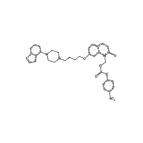 O=C(OCn1c(=O)ccc2ccc(OCCCCN3CCN(c4cccc5sccc45)CC3)cc21)Oc1ccc([N+](=O)[O-])cc1